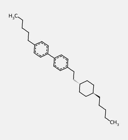 CCCCCc1ccc(-c2ccc(CC[C@H]3CC[C@H](CCCCC)CC3)cc2)cc1